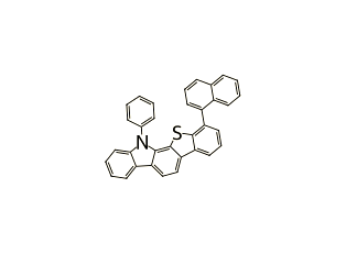 c1ccc(-n2c3ccccc3c3ccc4c5cccc(-c6cccc7ccccc67)c5sc4c32)cc1